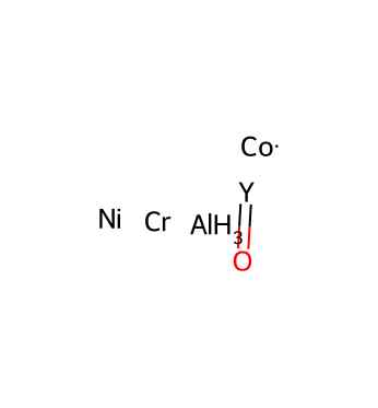 [AlH3].[Co].[Cr].[Ni].[O]=[Y]